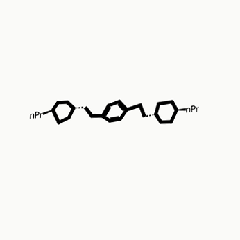 CCC[C@H]1CC[C@H](CCc2ccc(CC[C@H]3CC[C@H](CCC)CC3)cc2)CC1